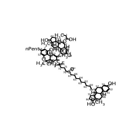 CCC(=O)O.CCCCCc1cc(O)c2c(c1)OC(C)(C)[C@@H]1CCC(C)=C[C@@H]21.C[C@]12CCC(=O)C[C@@H]1CC[C@@H]1[C@@H]2CC[C@]2(C)[C@@H](O)CC[C@@H]12.C[C@]12CC[C@@H]3c4ccc(O)cc4C[C@@H](CCCCCCCCC[S+]([O-])CCCC(F)(F)C(F)(F)F)[C@H]3[C@@H]1CC[C@@H]2O